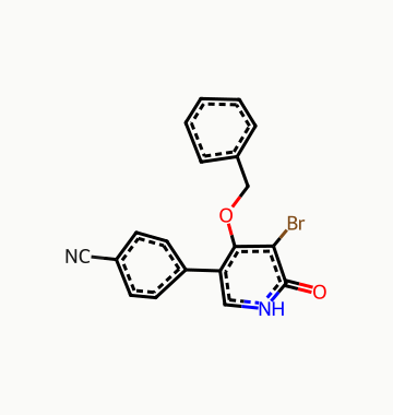 N#Cc1ccc(-c2c[nH]c(=O)c(Br)c2OCc2ccccc2)cc1